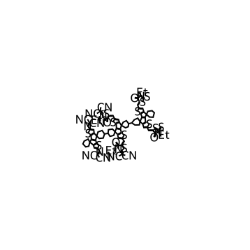 CCN1C(=O)/C(=C/c2cc3c(s2)C2=C(c4sc(/C=C5\SC(=S)N(CC)C5=O)cc4C24CCC(C2CCC5(CC2)C2=C(c6sc(/C=c7/sc(=C(C#N)C#N)n(CC)c7=O)cc65)C5(CCC(C6CCC7(CC6)C6=C(c8sc(N=C(C#N)C#N)cc87)C7(CCCCC7)c7cc(N=C(C#N)C#N)sc76)CC5)c5cc(/C=c6/sc(=C(C#N)C#N)n(CC)c6=O)sc52)CC4)C32CCCCC2)SC1=S